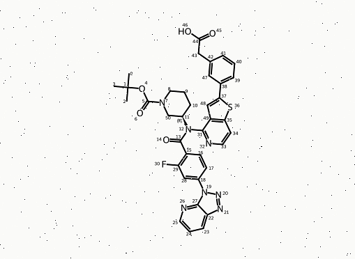 CC(C)(C)OC(=O)N1CCC[C@@H](N(C(=O)c2ccc(-n3nnc4cccnc43)cc2F)c2nccc3sc(-c4cccc(CC(=O)O)c4)cc23)C1